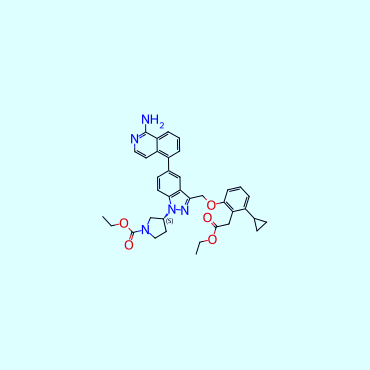 CCOC(=O)Cc1c(OCc2nn([C@H]3CCN(C(=O)OCC)C3)c3ccc(-c4cccc5c(N)nccc45)cc23)cccc1C1CC1